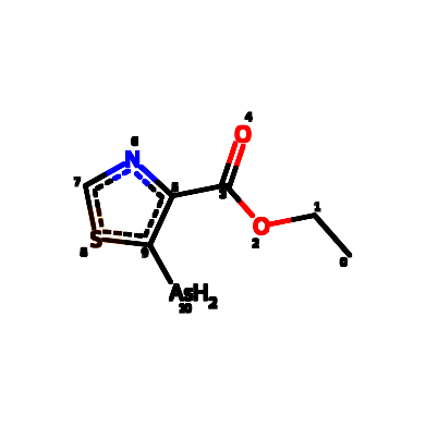 CCOC(=O)c1ncsc1[AsH2]